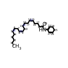 CCCCC/C=C\C/C=C\C/C=C\C/C=C\CCCC(=O)NC1=CCCC=C1